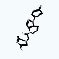 Cc1nc(C(F)(F)F)cn1CC(=O)N1CCCc2c1cnn2-c1ccc(Cl)cc1